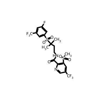 CC(C)(CCNC(=O)c1ncc(C(F)(F)F)cc1S(C)(=O)=O)S(=O)(=O)c1cc(F)cc(C(F)(F)F)c1